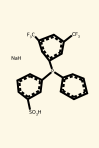 O=S(=O)(O)c1cccc(P(c2ccccc2)c2cc(C(F)(F)F)cc(C(F)(F)F)c2)c1.[NaH]